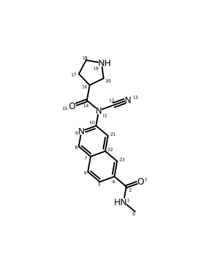 CNC(=O)c1ccc2cnc(N(C#N)C(=O)C3CCNC3)cc2c1